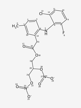 Cc1ccc(Nc2c(F)cccc2Cl)c(CC(=O)OCC(CO[N+](=O)[O-])O[N+](=O)[O-])c1